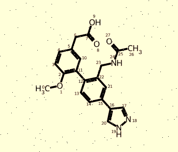 COc1ccc(CC(=O)O)cc1-c1ccc(-c2cn[nH]c2)cc1CNC(C)=O